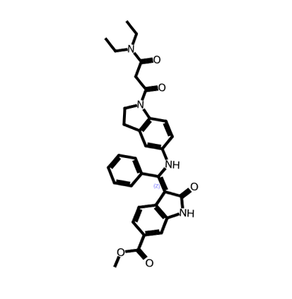 CCN(CC)C(=O)CC(=O)N1CCc2cc(N/C(=C3\C(=O)Nc4cc(C(=O)OC)ccc43)c3ccccc3)ccc21